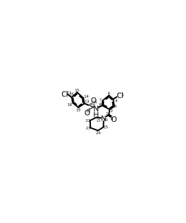 O=C(c1cc(Cl)ccc1NS(=O)(=O)c1ccc(Cl)cc1)N1CCCCC1